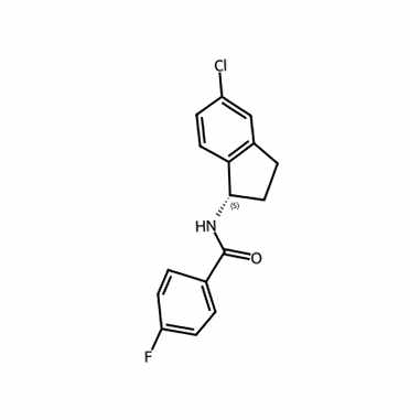 O=C(N[C@H]1CCc2cc(Cl)ccc21)c1ccc(F)cc1